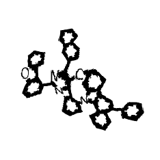 c1ccc(-c2cc3c4ccc5cc4n(c3c3ccccc23)-c2ccccc2-c2nc(-c3cccc4oc6ccccc6c34)nc(-c3ccc4ccccc4c3)c2C5)cc1